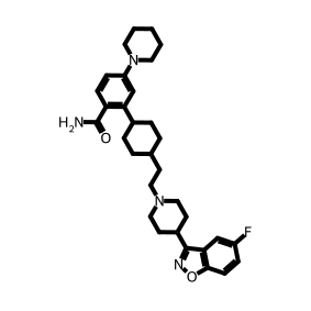 NC(=O)c1ccc(N2CCCCC2)cc1C1CCC(CCN2CCC(c3noc4ccc(F)cc34)CC2)CC1